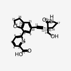 O=C(O)c1cccc(-c2cc(C#C[C@@]3(CO)CCNC3=O)cc3c2OCC3)n1